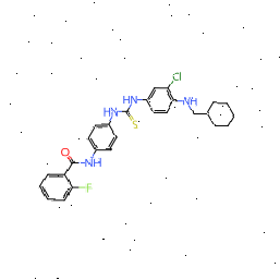 O=C(Nc1ccc(NC(=S)Nc2ccc(NCC3CCCCC3)c(Cl)c2)cc1)c1ccccc1F